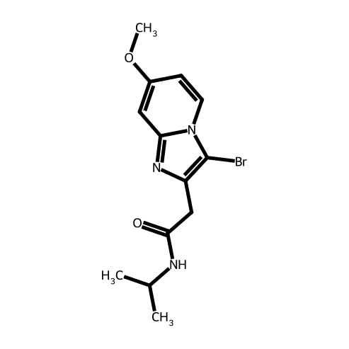 COc1ccn2c(Br)c(CC(=O)NC(C)C)nc2c1